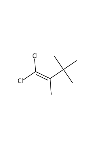 CC(=C(Cl)Cl)C(C)(C)C